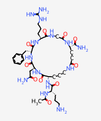 CC(=O)N[C@@H](CCCN)C(=O)N[C@H]1CCCNC(=O)CC[C@@H](C(N)=O)NC(=O)CNC(=O)[C@H](CCCNC(=N)N)NC(=O)[C@@H](Cc2ccccc2)NC(=O)[C@H](CC(N)=O)NC1=O